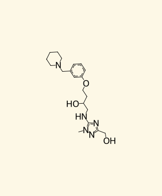 Cn1nc(CO)nc1NCC(O)CCOc1cccc(CN2CCCCC2)c1